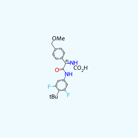 COCc1ccc([C@@H](NC(=O)O)C(=O)Nc2cc(F)c(C(C)(C)C)c(F)c2)cc1